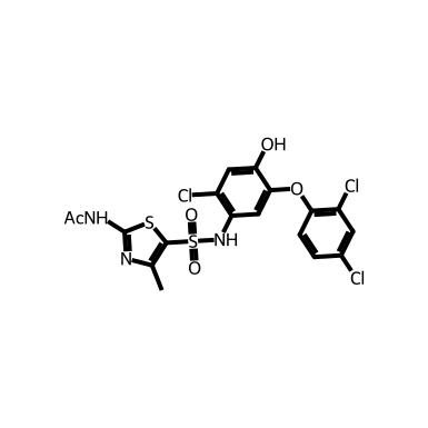 CC(=O)Nc1nc(C)c(S(=O)(=O)Nc2cc(Oc3ccc(Cl)cc3Cl)c(O)cc2Cl)s1